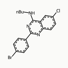 CCCCNc1nc(-c2ccc(Br)cc2)nc2ccc(Cl)cc12